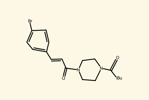 CCC(C)C(=O)N1CCN(C(=O)C=Cc2ccc(Br)cc2)CC1